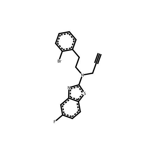 C#CCN(CCc1ccccc1Br)c1nc2cc(F)ccc2s1